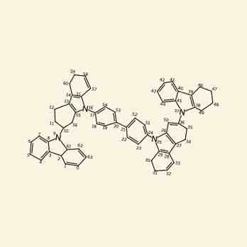 C1=CC2c3ccccc3N(C3CCc4c5c(n(-c6ccc(-c7ccc(-n8c9c(c%10c8CCC=C%10)CCC(n8c%10c(c%11ccccc%118)CCCC%10)=C9)cc7)cc6)c4C3)C=CCC5)C2C=C1